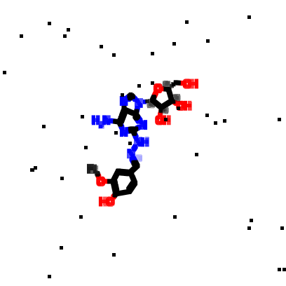 CCOc1cc(/C=N/Nc2nc(N)c3ncn([C@@H]4O[C@H](CO)[C@@H](O)[C@H]4O)c3n2)ccc1O